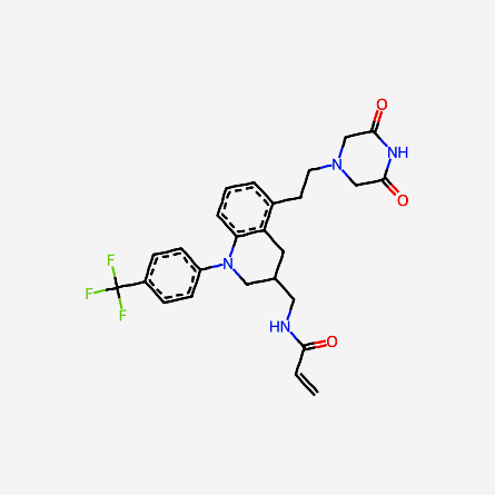 C=CC(=O)NCC1Cc2c(CCN3CC(=O)NC(=O)C3)cccc2N(c2ccc(C(F)(F)F)cc2)C1